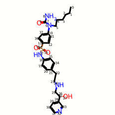 CCCCCCN(C(N)=O)c1ccc(S(=O)(=O)Nc2ccc(CCNC[C@H](O)c3cccnc3)cc2)cc1